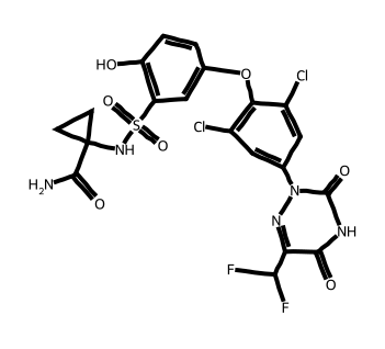 NC(=O)C1(NS(=O)(=O)c2cc(Oc3c(Cl)cc(-n4nc(C(F)F)c(=O)[nH]c4=O)cc3Cl)ccc2O)CC1